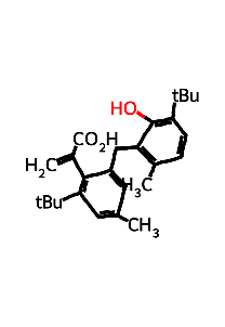 C=C(C(=O)O)c1c(Cc2c(C)ccc(C(C)(C)C)c2O)cc(C)cc1C(C)(C)C